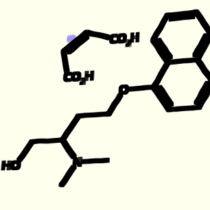 CN(C)C(CO)CCOc1cccc2ccccc12.O=C(O)/C=C\C(=O)O